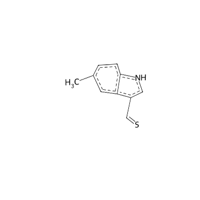 Cc1ccc2[nH]cc(C=S)c2c1